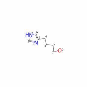 [O]CCCCc1c[nH]cn1